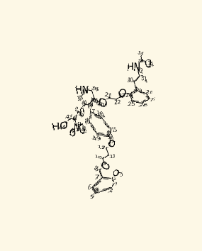 COc1ccccc1COCCCOc1ccc([C@H]2[C@@H](OCCOc3ccccc3CCNC(C)=O)CNC[C@H]2OC[C@H](CO)[N+](=O)[O-])cc1